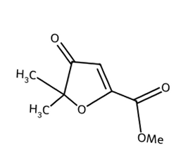 COC(=O)C1=CC(=O)C(C)(C)O1